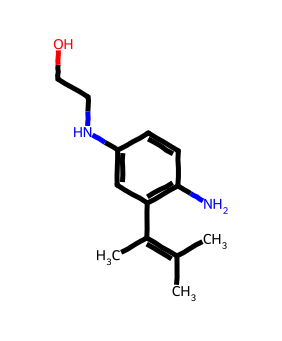 CC(C)=C(C)c1cc(NCCO)ccc1N